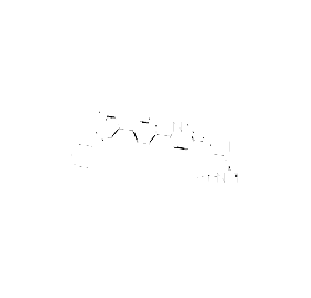 COc1cc(/C(C=N)=C/NC2CCCCO2)cnc1-c1ccc(N[C@H]2CC(C)(C)NC(C)(C)[C@H]2F)nn1